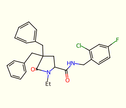 CCN1C(=O)C(Cc2ccccc2)(Cc2ccccc2)CC1C(=O)NCc1ccc(F)cc1Cl